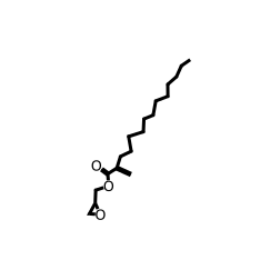 C=C(CCCCCCCCCCCC)C(=O)OCC1CO1